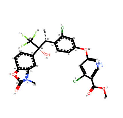 C=C(/C=C(Cl)\C(=C/N)C(=O)OC)Oc1ccc([C@@H](C)[C@@](O)(c2ccc3oc(=O)n(C)c3c2)C(F)(F)F)c(Cl)c1